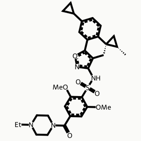 CCN1CCN(C(=O)c2cc(OC)c(S(=O)(=O)Nc3noc4c3C[C@@]3(C[C@@H]3C)c3ccc(C5CC5)cc3-4)c(OC)c2)CC1